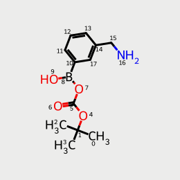 CC(C)(C)OC(=O)OB(O)c1cccc(CN)c1